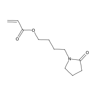 C=CC(=O)OCCCCN1CCCC1=O